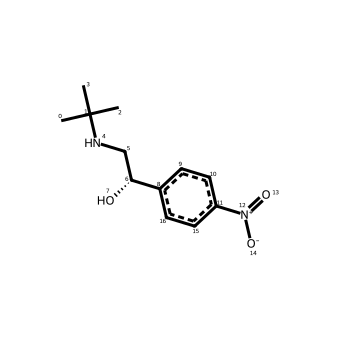 CC(C)(C)NC[C@@H](O)c1ccc([N+](=O)[O-])cc1